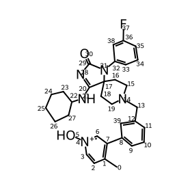 Cc1cc[n+](O)cc1-c1cccc(CN2CCC3(CC2)C(NC2CCCCC2)=NC(=O)N3c2cccc(F)c2)c1